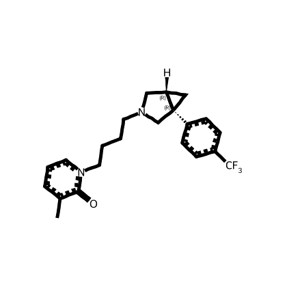 Cc1cccn(CCCCN2C[C@@H]3C[C@@]3(c3ccc(C(F)(F)F)cc3)C2)c1=O